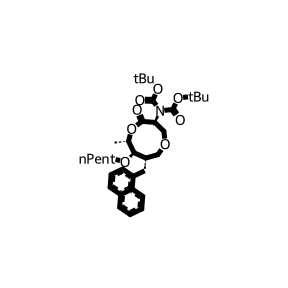 CCCCCO[C@@H]1[C@@H](Cc2cccc3ccccc23)COC[C@H](N(C(=O)OC(C)(C)C)C(=O)OC(C)(C)C)C(=O)O[C@H]1C